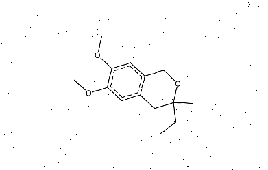 CCC1(C)Cc2cc(OC)c(OC)cc2CO1